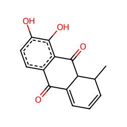 CC1C=CC=C2C(=O)c3ccc(O)c(O)c3C(=O)C21